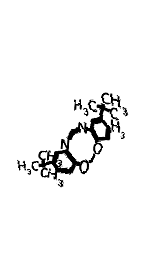 CC(C)(C)c1ccc2c(c1)N=C=Nc1cc(C(C)(C)C)ccc1OCO2